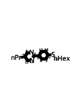 CCCCCCSc1ccc(-c2ncc(CCC)cn2)cc1